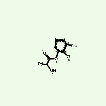 CCC(O)C(=O)Oc1cccc(Cl)c1Cl